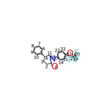 O=C1CCC(c2ccccc2)CN1c1ccc(OC(F)(F)F)cc1